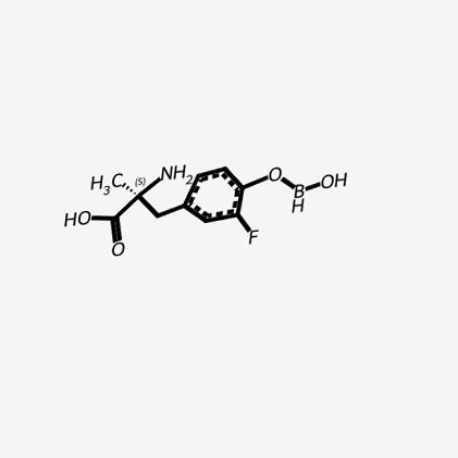 C[C@](N)(Cc1ccc(OBO)c(F)c1)C(=O)O